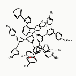 CC(C)(C)c1ccc(-c2cc(-c3ccc(C(C)(C)C)cc3)cc(-c3cc(-c4cc(-c5ccc(C(C)(C)C)cc5)cc(-c5ccc(C(C)(C)C)cc5)c4)cc(C4(c5cc(-c6cc(-c7ccc(C(C)(C)C)cc7)cc(-c7ccc(C(C)(C)C)cc7)c6)cc(-c6cc(-c7ccc(C(C)(C)C)cc7)cc(-c7ccc(C(C)(C)C)cc7)c6)c5)c5cc6c(cc5-c5c(-c7cccc(-c8ccccc8)c7)cccc54)OCO6)c3)c2)cc1